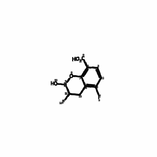 O=C(O)c1ccc(F)c2c1OB(O)C(F)C2